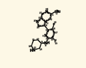 CC(C)(C)c1cn2c(-c3nc(N[C@@H]4CCCNC4)c(F)cc3F)cnc2cn1